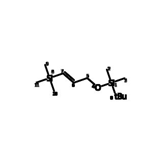 CC(C)(C)[Si](C)(C)OC/C=C/[Si](C)(C)C